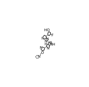 Oc1cc(F)cc(-c2ccnc3[nH]c(-c4n[nH]c5cnc(-c6cncc(OCCN7CCCC7)c6)cc45)nc23)c1